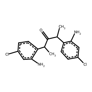 CC(C(=O)C(C)c1ccc(Cl)cc1N)c1ccc(Cl)cc1N